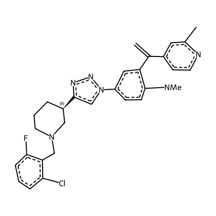 C=C(c1ccnc(C)c1)c1cc(-n2cc([C@@H]3CCCN(Cc4c(F)cccc4Cl)C3)nn2)ccc1NC